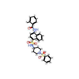 Cc1ccccc1C(=O)Nc1ccc(S(=O)(=O)NC2CCN(S(=O)(=O)c3ccccc3)CC2)c2ccccc12